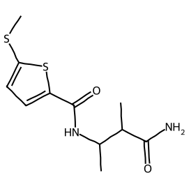 CSc1ccc(C(=O)NC(C)C(C)C(N)=O)s1